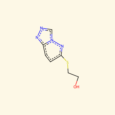 OCCSc1ccc2nncn2n1